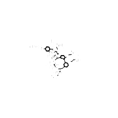 CCCCCCCOc1cc(C)c(C(=O)N[C@@H](CCN)C(=O)N(C)[C@@H]2C(=O)N[C@@H](C)C(=O)N[C@H](C(=O)NCC#N)Cc3ccc(OCCN)c(c3)-c3cc2ccc3OCCN)c(C)c1